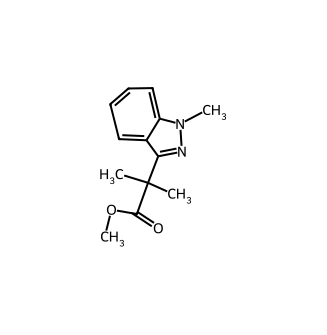 COC(=O)C(C)(C)c1nn(C)c2ccccc12